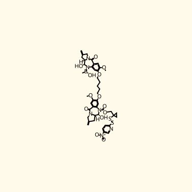 C=C1C[C@H]2[C@H](O)N(B(C)O)c3cc(OCCCCCOc4cc5c(cc4OC)C(=O)N4CC(=C)C[C@H]4[C@H](O)N5C(=O)OCC4(SSc5ccc([N+](=O)[O-])cn5)CC4)c(OC)cc3C(=O)N2C1